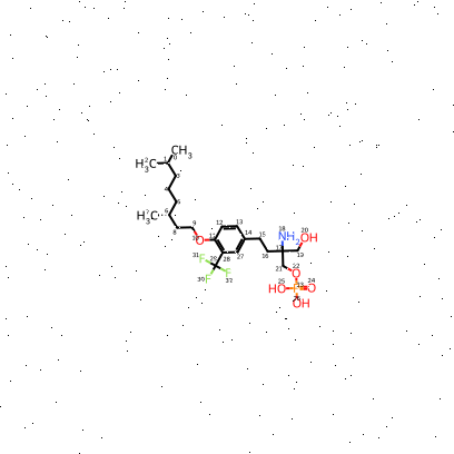 CC(C)CCC[C@@H](C)CCOc1ccc(CCC(N)(CO)COP(=O)(O)O)cc1C(F)(F)F